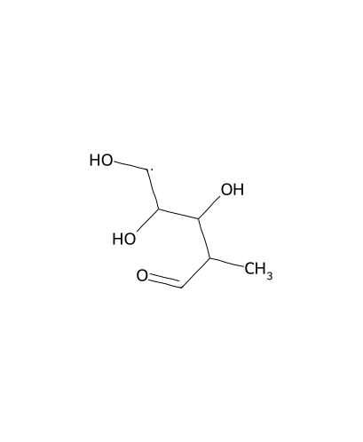 CC(C=O)C(O)C(O)[CH]O